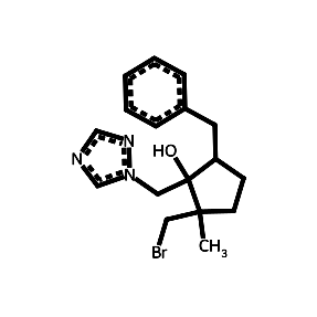 CC1(CBr)CCC(Cc2ccccc2)C1(O)Cn1cncn1